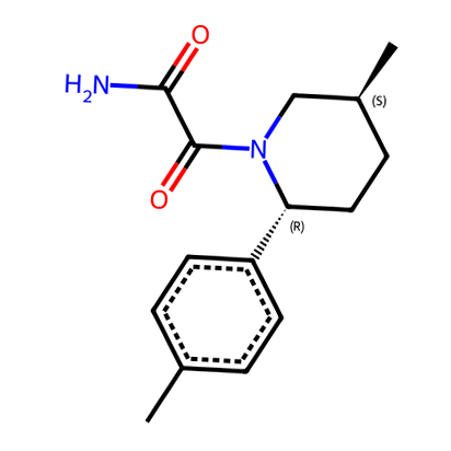 Cc1ccc([C@H]2CC[C@H](C)CN2C(=O)C(N)=O)cc1